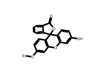 CCOc1ccc2c(c1)Oc1cc(O)ccc1C21OC(=O)c2ccccc21